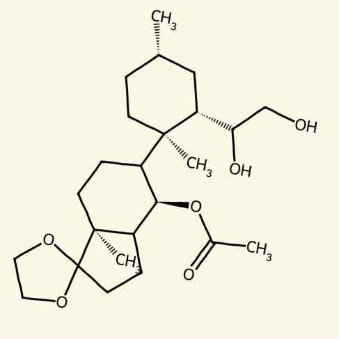 CC(=O)O[C@H]1C2CCC3(OCCO3)[C@@]2(C)CCC1[C@@]1(C)CC[C@H](C)C[C@@H]1C(O)CO